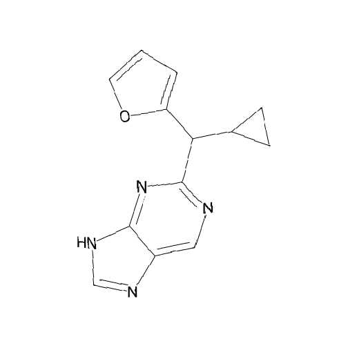 c1coc(C(c2ncc3nc[nH]c3n2)C2CC2)c1